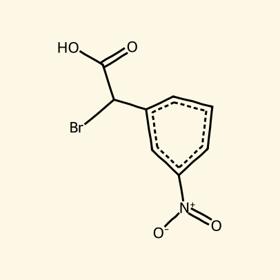 O=C(O)C(Br)c1cccc([N+](=O)[O-])c1